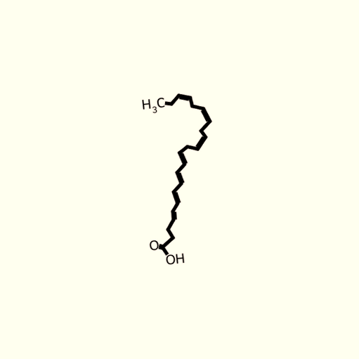 CC/C=C\C/C=C\C/C=C\C/C=C/C=C/C=C/C=C/CCC(=O)O